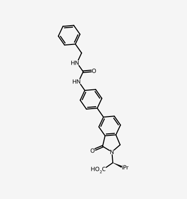 CC(C)[C@@H](C(=O)O)N1Cc2ccc(-c3ccc(NC(=O)NCc4ccccc4)cc3)cc2C1=O